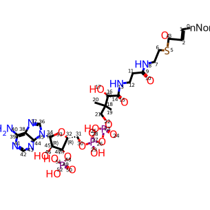 CCCCCCCCCC=CC(=O)SCCNC(=O)CCNC(=O)[C@H](O)C(C)(C)COP(=O)(O)OP(=O)(O)OC[C@H]1O[C@@H](n2cnc3c(N)ncnc32)[C@H](O)[C@@H]1OP(=O)(O)O